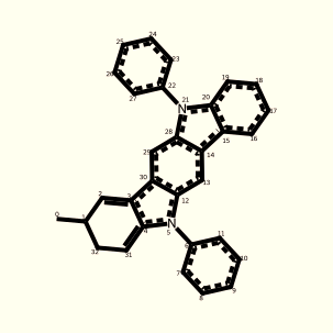 CC1C=c2c(n(-c3ccccc3)c3cc4c5ccccc5n(-c5ccccc5)c4cc23)=CC1